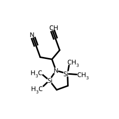 C#CCC(CC#N)N1[Si](C)(C)CC[Si]1(C)C